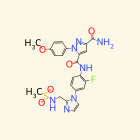 COc1ccc(-n2nc(C(N)=O)cc2C(=O)Nc2ccc(-n3ccnc3CNS(C)(=O)=O)cc2F)cc1